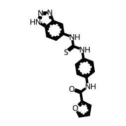 O=C(Nc1ccc(NC(=S)Nc2ccc3[nH]nnc3c2)cc1)c1ccco1